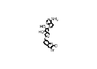 Nc1ncnc2c1ccn2[C@@H]1C[C@@]2(CO[C@H](Cc3ccc4cc(Br)c(Cl)nc4c3)C2)[C@@H](O)[C@H]1O